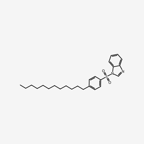 CCCCCCCCCCCCc1ccc(S(=O)(=O)n2cnc3ccccc32)cc1